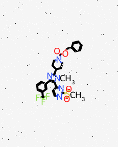 Cn1c(C2CCN(C(=O)OCc3ccccc3)CC2)nc(-c2cccc(C(F)(F)F)c2)c1-c1ccnc(S(C)(=O)=O)n1